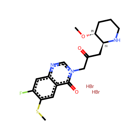 Br.Br.CO[C@@H]1CCCN[C@H]1CC(=O)Cn1cnc2cc(F)c(SC)cc2c1=O